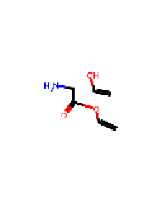 C=CO.C=COC(=O)CN